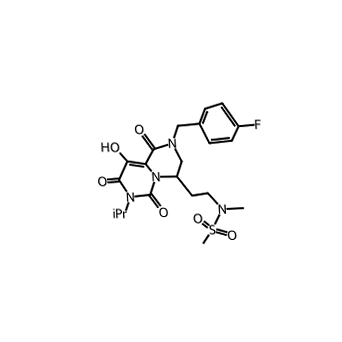 CC(C)n1c(=O)c(O)c2n(c1=O)C(CCN(C)S(C)(=O)=O)CN(Cc1ccc(F)cc1)C2=O